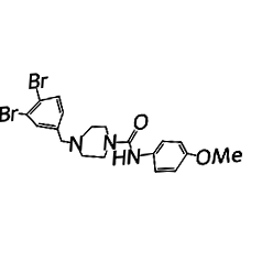 COc1ccc(NC(=O)N2CCN(Cc3ccc(Br)c(Br)c3)CC2)cc1